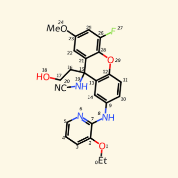 CCOc1cccnc1Nc1ccc2c(c1)C(CCO)(NC#N)c1cc(OC)cc(F)c1O2